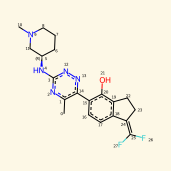 Cc1nc(N[C@@H]2CCCN(C)C2)nnc1-c1ccc2c(c1O)CCC2=C(F)F